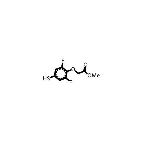 COC(=O)COc1c(F)cc(S)cc1F